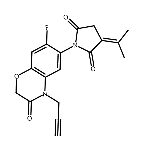 C#CCN1C(=O)COc2cc(F)c(N3C(=O)CC(=C(C)C)C3=O)cc21